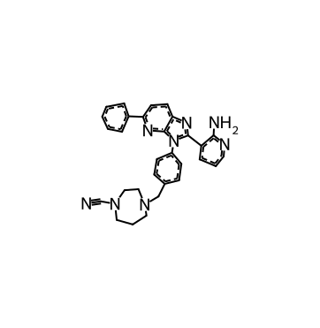 N#CN1CCCN(Cc2ccc(-n3c(-c4cccnc4N)nc4ccc(-c5ccccc5)nc43)cc2)CC1